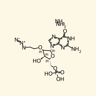 N.N.[N-]=[N+]=NCCO[C@@H]1[C@H](O)[C@@H](COP(=O)(O)O)O[C@H]1n1cnc2c(=O)[nH]c(N)nc21